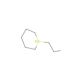 CCC[SH]1CCCCC1